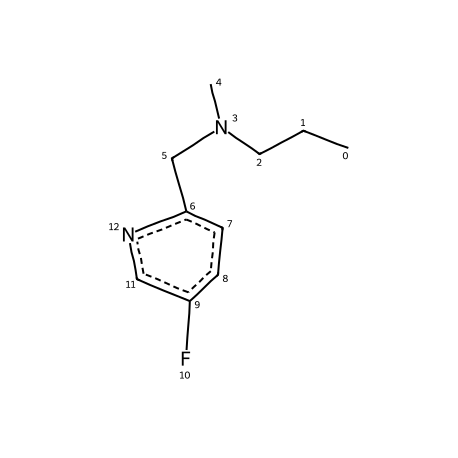 CCCN(C)Cc1ccc(F)cn1